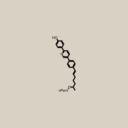 CCCCCOC(C)CCCC=Cc1ccc(-c2ccc(-c3ccc(O)cc3)nc2)cc1